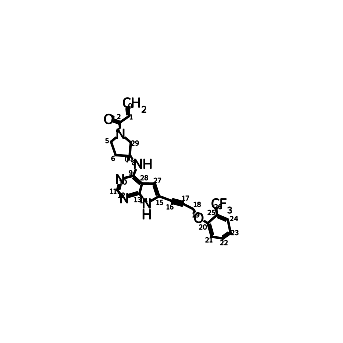 C=CC(=O)N1CC[C@@H](Nc2ncnc3[nH]c(C#CCOc4ccccc4C(F)(F)F)cc23)C1